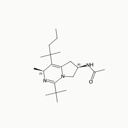 CCCC(C)(C)C1=C2C[C@@H](NC(C)=O)CN2C(C(C)(C)C)=N[C@H]1C